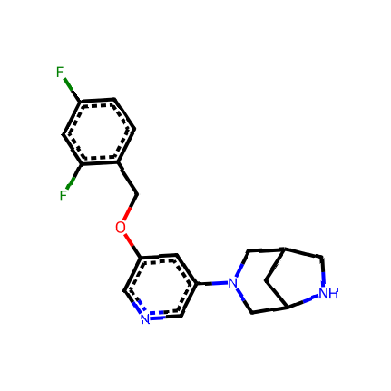 Fc1ccc(COc2cncc(N3CC4CNC(C4)C3)c2)c(F)c1